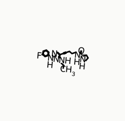 CCCNc1nc(Nc2cccc(F)c2)ncc1C#CCCCNC(=O)[C@H]1CCCN1